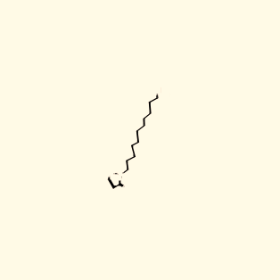 CCCCCCCCCCCCn1sccc1=O